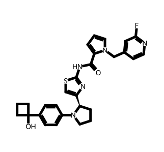 O=C(Nc1nc([C@H]2CCCN2c2ccc(C3(O)CCC3)cc2)cs1)c1cccn1Cc1ccnc(F)c1